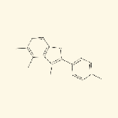 CC1=C(c2ccc(C)cc2)[CH]c2ccc(C)c(C)c21